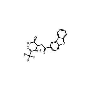 O=C(CC([AsH]C(=O)C(F)(F)F)C(=O)O)c1ccc2oc3ccccc3c2c1